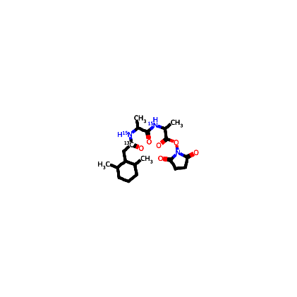 CC([15NH][13C](=O)CC1C(C)CCCC1C)C(=O)[15NH]C(C)C(=O)ON1C(=O)CCC1=O